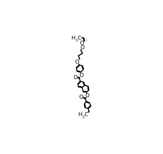 C=Cc1ccc(C(=O)Oc2ccc3cc(C(=O)Oc4ccc(OCCCCOO/C=C\C)cc4)ccc3c2)cc1